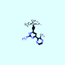 Cc1nccnc1-c1cc(C#C[Si](C)(C)C)nc(N)n1